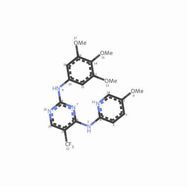 COc1ccc(Nc2nc(Nc3cc(OC)c(OC)c(OC)c3)ncc2C(F)(F)F)nc1